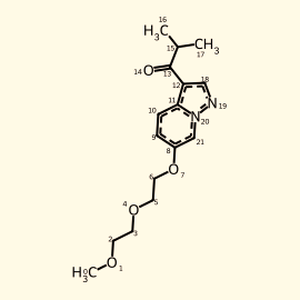 COCCOCCOc1ccc2c(C(=O)C(C)C)cnn2c1